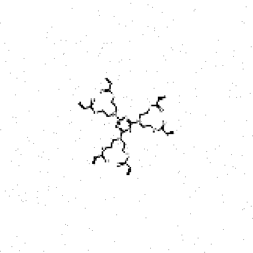 C=CC(=O)OCCN(CCOC(=O)C=C)c1nc(N(CCOC(=O)C=C)CCOC(=O)C=C)nc(N(CCOC(=O)C=C)CCOC(=O)C=C)n1